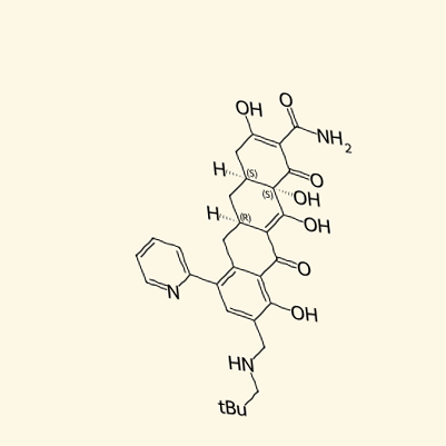 CC(C)(C)CNCc1cc(-c2ccccn2)c2c(c1O)C(=O)C1=C(O)[C@]3(O)C(=O)C(C(N)=O)=C(O)C[C@@H]3C[C@@H]1C2